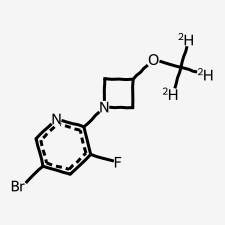 [2H]C([2H])([2H])OC1CN(c2ncc(Br)cc2F)C1